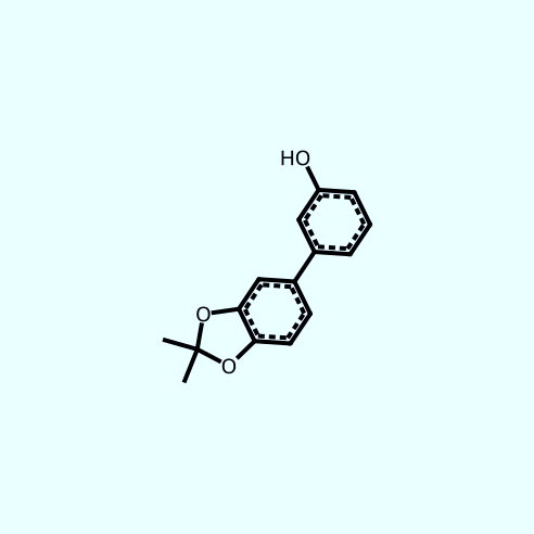 CC1(C)Oc2ccc(-c3cccc(O)c3)cc2O1